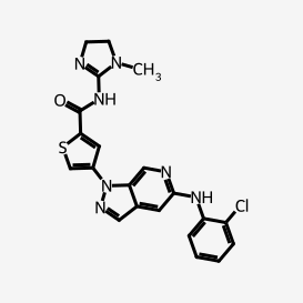 CN1CCN=C1NC(=O)c1cc(-n2ncc3cc(Nc4ccccc4Cl)ncc32)cs1